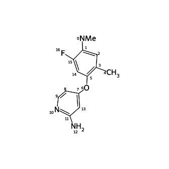 CNc1cc(C)c(Oc2ccnc(N)c2)cc1F